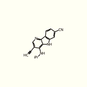 C#Cc1cnc2c([nH]c3cc(C#N)ccc32)c1NC(C)C